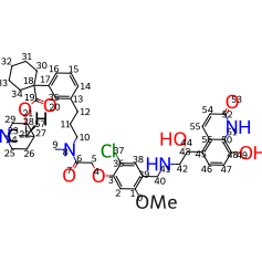 COc1cc(OCC(=O)N(C)CCCc2cccc(C3(C(=O)O[C@H]4CN5CCC4CC5)CCCCC3)c2)c(Cl)cc1CNC[C@H](O)c1ccc(O)c2[nH]c(=O)ccc12